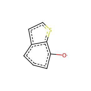 [O]c1cccc2ccsc12